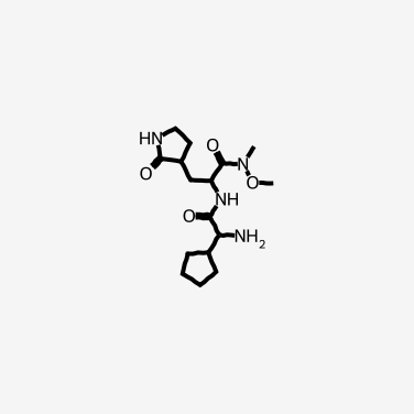 CON(C)C(=O)C(CC1CCNC1=O)NC(=O)C(N)C1CCCC1